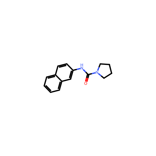 O=C(Nc1ccc2ccccc2c1)N1CCCC1